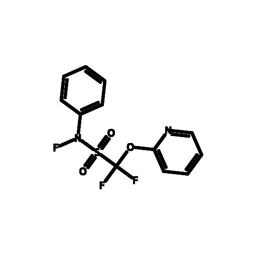 O=S(=O)(N(F)c1ccccc1)C(F)(F)Oc1ccccn1